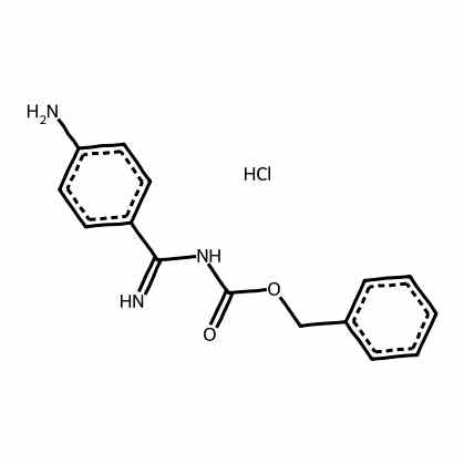 Cl.N=C(NC(=O)OCc1ccccc1)c1ccc(N)cc1